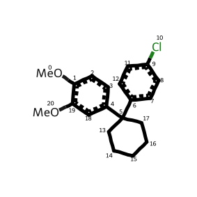 COc1ccc(C2(c3ccc(Cl)cc3)CCCCC2)cc1OC